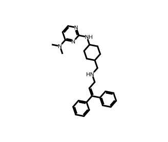 CN(C)c1ccnc(NC2CCC(CNCC=C(c3ccccc3)c3ccccc3)CC2)n1